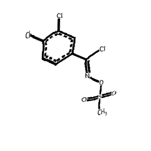 CS(=O)(=O)ON=C(Cl)c1ccc(Cl)c(Cl)c1